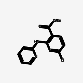 COC(=O)c1ccc(Cl)nc1Nc1ccccn1